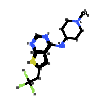 CN1CCC(Nc2ncnc3sc(CC(F)(F)F)cc23)CC1